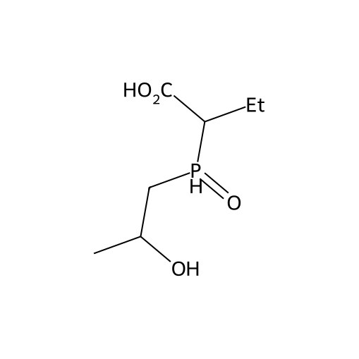 CCC(C(=O)O)[PH](=O)CC(C)O